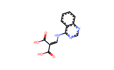 O=C(O)C(=CNc1ncnc2ccccc12)C(=O)O